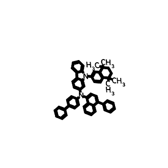 CC1(C)CCC(C)(C)c2cc(-n3c4ccccc4c4ccc(N(c5ccc(-c6ccccc6)cc5)c5ccc(-c6ccccc6)c6ccccc56)cc43)ccc21